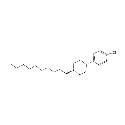 CCCCCCCCCC[C@H]1CC[C@H](c2ccc(Cl)cc2)CC1